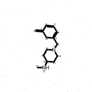 C=C1C=CC=C(CN2CCC(NC)CC2)C1